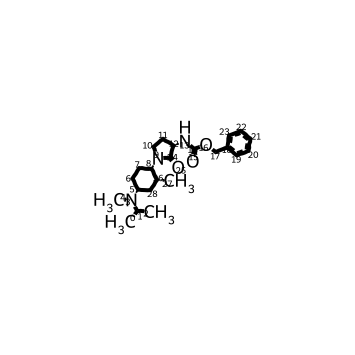 CC(C)N(C)[C@@H]1CC[C@H](N2CC[C@H](NC(=O)OCc3ccccc3)C2=O)[C@H](C)C1